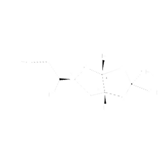 CC1(C)O[C@H]2O[C@H](C(O)CO)C[C@H]2O1